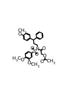 COc1ccc(C(CCN(C(=O)COC(C)=O)S(=O)(=O)c2ccc(OC)c(OC)c2)c2ccccc2)cc1